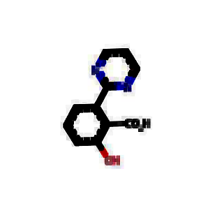 O=C(O)c1c(O)cccc1-c1ncccn1